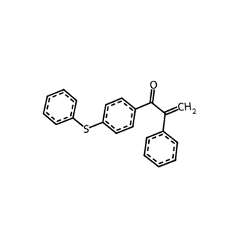 C=C(C(=O)c1ccc(Sc2ccccc2)cc1)c1ccccc1